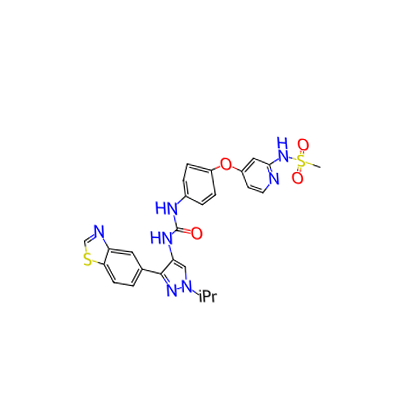 CC(C)n1cc(NC(=O)Nc2ccc(Oc3ccnc(NS(C)(=O)=O)c3)cc2)c(-c2ccc3scnc3c2)n1